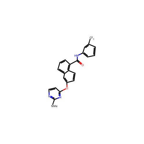 CNc1nccc(Oc2ccc3c(C(=O)Nc4cccc(C(F)(F)F)c4)cccc3c2)n1